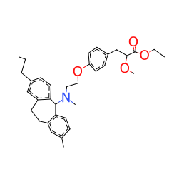 CCCc1ccc2c(c1)CCc1cc(C)ccc1C2N(C)CCOc1ccc(CC(OC)C(=O)OCC)cc1